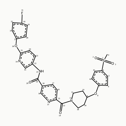 CS(=O)(=O)c1ccc(OC2CCN(C(=O)c3ccc(C(=O)Nc4ccc(Oc5ccc(F)cc5)nc4)cn3)CC2)cc1